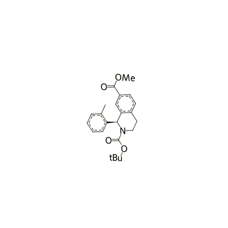 COC(=O)c1ccc2c(c1)[C@H](c1ccccc1C)N(C(=O)OC(C)(C)C)CC2